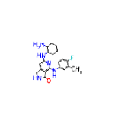 Cc1cc(Nc2nc(N[C@@H]3CCCC[C@@H]3N)cc3c2C(=O)NC3)ccc1F